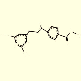 CCOC(=O)c1cc(CCC(F)c2ccc(C(=O)OC(C)(C)C)cc2)cc(C)n1